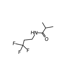 CC(C)C(=O)NCCC(F)(F)F